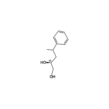 CC(C[C@H](O)CO)c1ccccc1